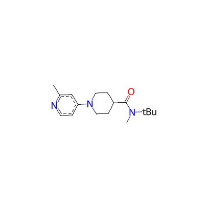 Cc1cc(N2CCC(C(=O)N(C)C(C)(C)C)CC2)ccn1